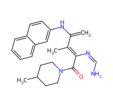 C=C(Nc1ccc2ccccc2c1)/C(C)=C(\N=C/N)C(=O)N1CCC(C)CC1